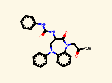 CC(C)(C)C(=O)CN1C(=O)C(NC(=O)Nc2ccccc2)CN(c2ccccc2)c2ccccc21